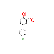 O=[C]c1cc(-c2ccc(F)cc2)ccc1O